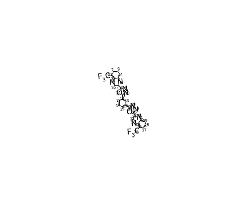 FC(F)(F)c1cccc2nc(-c3nnc(-c4cccc(-c5nnc(-c6cnc7c(C(F)(F)F)cccc7n6)o5)c4)o3)cnc12